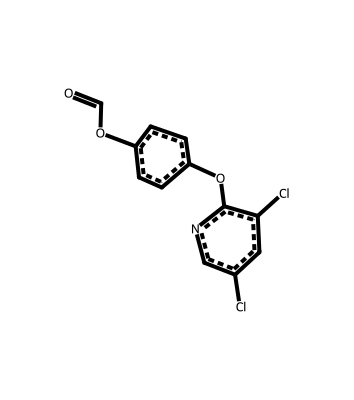 O=COc1ccc(Oc2ncc(Cl)cc2Cl)cc1